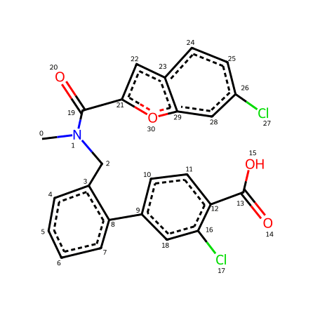 CN(Cc1ccccc1-c1ccc(C(=O)O)c(Cl)c1)C(=O)c1cc2ccc(Cl)cc2o1